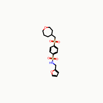 O=S(=O)(CC1CCCOCC1)c1ccc(S(=O)(=O)NCc2ccco2)cc1